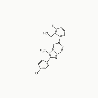 CC1=C(c2ccc(Cl)cc2)N=C2C=CN(c3cccc(F)c3CO)C[N+]21